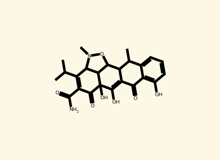 CC(C)C1=C(C(N)=O)C(=O)C2(O)C(O)=C3C(=O)c4c(O)cccc4C(C)C3C3ON(C)C1C32